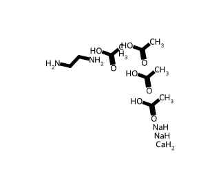 CC(=O)O.CC(=O)O.CC(=O)O.CC(=O)O.NCCN.[CaH2].[NaH].[NaH]